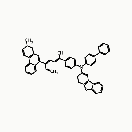 C=C/C(=C\C=C(/C)c1ccc(N(C2=Cc3c(sc4ccccc34)CC2)c2ccc(-c3ccccc3)cc2)cc1)c1cc2c(c3ccccc13)C=CC(C)C2